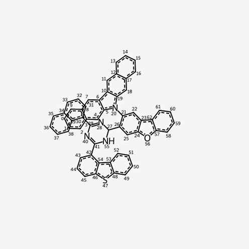 c1ccc2cc3c(cc2c1)c1cc2ccccc2cc1n3-c1cc2c(cc1C1N=C(c3cccc4ccccc34)N=C(c3cccc4sc5ccccc5c34)N1)oc1ccccc12